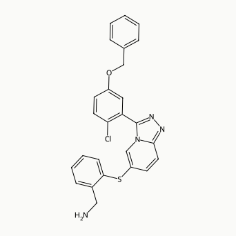 NCc1ccccc1Sc1ccc2nnc(-c3cc(OCc4ccccc4)ccc3Cl)n2c1